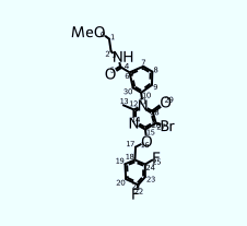 COCCNC(=O)c1cccc(-n2c(C)nc(OCc3ccc(F)cc3F)c(Br)c2=O)c1